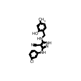 Cc1ccc(CNc2[nH]nc(Nc3cccc(Cl)c3)c2C#N)c(O)c1